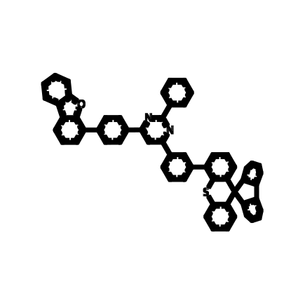 c1ccc(-c2nc(-c3ccc(-c4cccc5c4oc4ccccc45)cc3)cc(-c3cccc(-c4cccc5c4Sc4ccccc4C54c5ccccc5-c5ccccc54)c3)n2)cc1